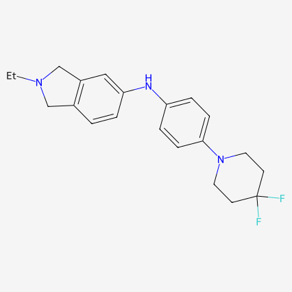 CCN1Cc2ccc(Nc3ccc(N4CCC(F)(F)CC4)cc3)cc2C1